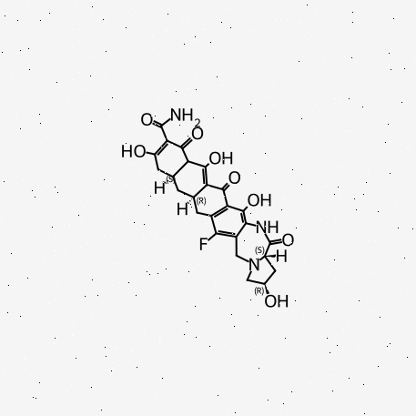 NC(=O)C1=C(O)C[C@@H]2C[C@@H]3Cc4c(F)c5c(c(O)c4C(=O)C3=C(O)C2C1=O)NC(=O)[C@@H]1C[C@@H](O)CN1C5